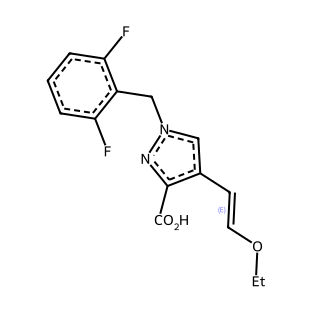 CCO/C=C/c1cn(Cc2c(F)cccc2F)nc1C(=O)O